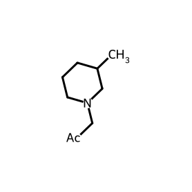 CC(=O)CN1CCCC(C)C1